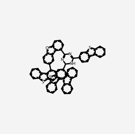 c1cc(C2=NC(c3ccc4c(c3)sc3ccccc34)NC(c3ccc4c(c3)sc3ccccc34)=N2)c2c(c1)oc1ccc(-c3cc(-n4c5ccccc5c5ccccc54)cc4sc5ccccc5c34)cc12